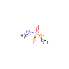 CNS(=O)(=O)OC